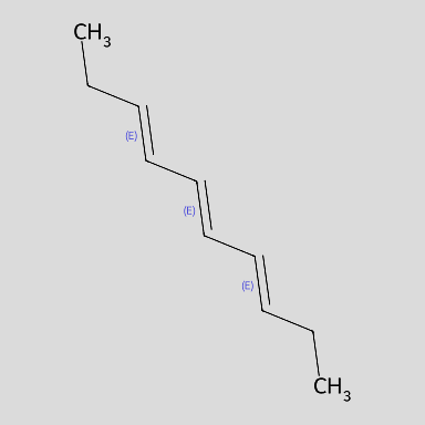 CC/C=C/C=C/C=C/CC